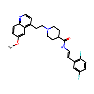 COc1ccc2nccc(CCN3CCC(C(=O)NC=Cc4cc(F)ccc4F)CC3)c2c1